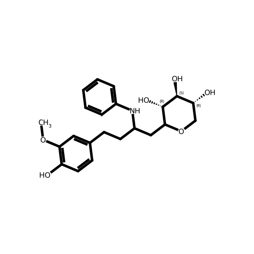 COc1cc(CCC(CC2OC[C@@H](O)[C@H](O)[C@H]2O)Nc2[c]cccc2)ccc1O